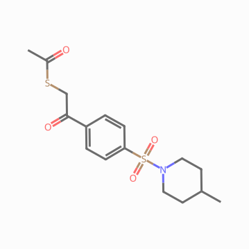 CC(=O)SCC(=O)c1ccc(S(=O)(=O)N2CCC(C)CC2)cc1